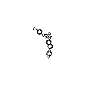 CN1CCN(c2ccc3cc(N(C)S(=O)(=O)COc4ccc(Cl)cc4)ccc3n2)CC1